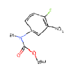 CCN(C(=O)OC(C)(C)C)c1ccc(F)c([N+](=O)[O-])c1